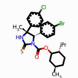 CC(C)[C@@H]1CC[C@@H](C)CC1OC(=O)N1C(=S)N[C@](C)(c2ccc(Cl)cc2)[C@@H]1c1ccc(Br)cc1